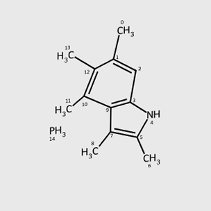 Cc1cc2[nH]c(C)c(C)c2c(C)c1C.P